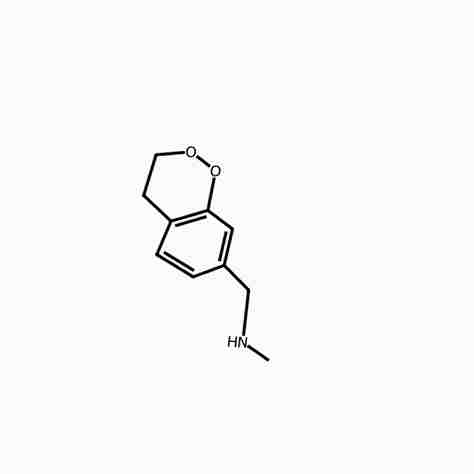 CNCc1ccc2c(c1)OOCC2